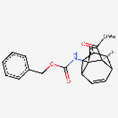 COC(=O)[C@H]1C2C=CC(CCC2)[C@@H]1NC(=O)OCc1ccccc1